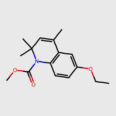 CCOc1ccc2c(c1)C(C)=CC(C)(C)N2C(=O)OC